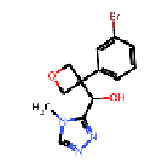 Cn1cnnc1[C@H](O)C1(c2cccc(Br)c2)COC1